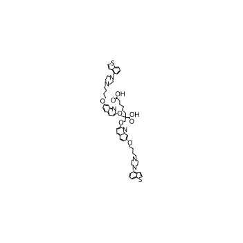 O=C(O)CCCCCC(COc1ccc2ccc(OCCCCN3CCN(c4cccc5sccc45)CC3)cc2n1)(COc1ccc2ccc(OCCCCN3CCN(c4cccc5sccc45)CC3)cc2n1)C(=O)O